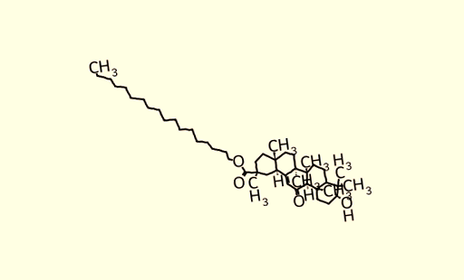 CCCCCCCCCCCCCCCCCCOC(=O)[C@]1(C)CC[C@]2(C)CC[C@]3(C)C(=CC(=O)[C@@H]4[C@@]5(C)CC[C@H](O)C(C)(C)C5CC[C@]43C)[C@H]2C1